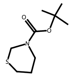 CC(C)(C)OC(=O)N1CCCSC1